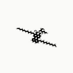 CCCCCCCCCCCCc1cc2c3cccc4ccc(CCCCCCCCCCCC)c(c5ccc6c(c1C(=O)N(CC(CC)CCCC)C6=O)c25)c43